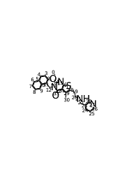 COc1ccc2ccccc2c1Cn1cnc2sc(CCNCc3cccnc3)c(C)c2c1=O